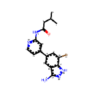 CC(C)CC(=O)Nc1cc(-c2cc(Br)c3[nH]nc(N)c3c2)ccn1